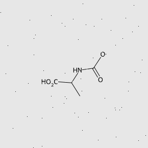 CC(NC([O])=O)C(=O)O